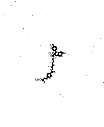 COC(=O)C=Cc1ccc(C(=O)OCCCCCCOC(=O)C(Cc2ccc([N+](=O)[O-])cc2)(Cc2ccc([N+](=O)[O-])cc2)C(=O)O)cc1